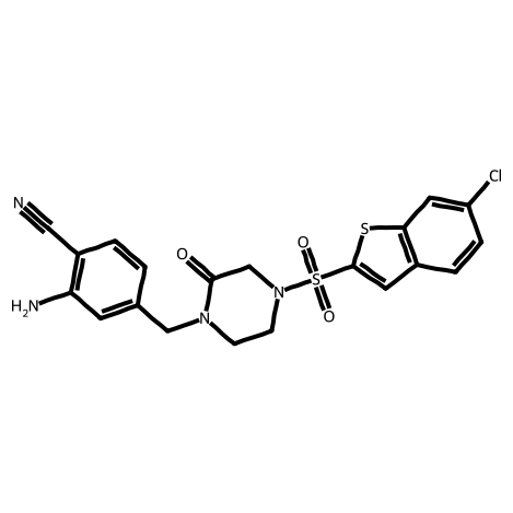 N#Cc1ccc(CN2CCN(S(=O)(=O)c3cc4ccc(Cl)cc4s3)CC2=O)cc1N